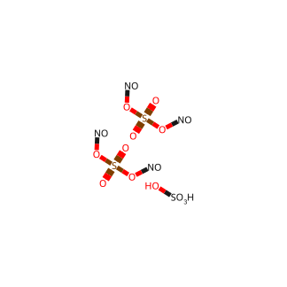 O=NOS(=O)(=O)ON=O.O=NOS(=O)(=O)ON=O.O=S(=O)(O)O